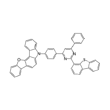 c1ccc(-c2cc(-c3ccc(-n4c5ccccc5c5c6oc7ccccc7c6ccc54)cc3)nc(-c3cccc4c3sc3ccccc34)n2)cc1